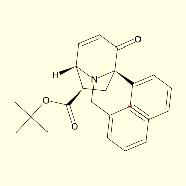 CC(C)(C)OC(=O)[C@@H]1C[C@@]2(c3ccccc3)C(=O)C=C[C@@H]1N2Cc1ccccc1